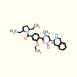 CCOc1cc(C(=O)N2C(CC)CCC2CC)ccc1C(=O)N(C)CC(N=O)[C@@H]1Cc2ccccc2CN1